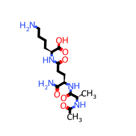 CC(=O)N[C@@H](C)C(=O)N[C@H](CCC(=O)N[C@@H](CCCCN)C(=O)O)C(N)=O